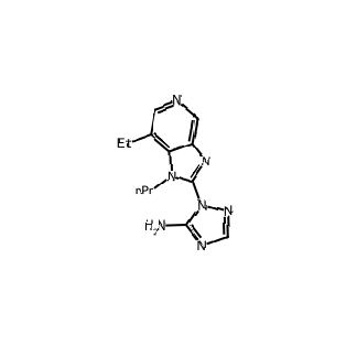 CCCn1c(-n2ncnc2N)nc2cncc(CC)c21